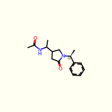 CC(=O)NC(C)C1CC(=O)N([C@@H](C)c2ccccc2)C1